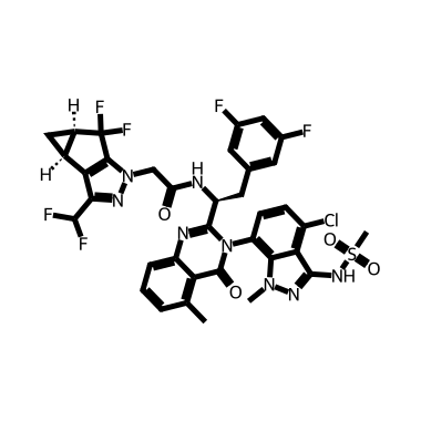 Cc1cccc2nc([C@H](Cc3cc(F)cc(F)c3)NC(=O)Cn3nc(C(F)F)c4c3C(F)(F)[C@@H]3C[C@H]43)n(-c3ccc(Cl)c4c(NS(C)(=O)=O)nn(C)c34)c(=O)c12